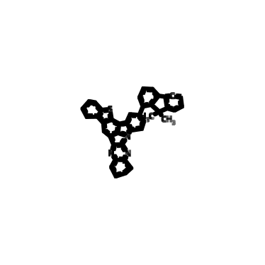 CC1(C)c2ccccc2-c2cccc(-c3ccc4c(c3)c3c5sc6ccccc6c5cc5c6nc7ccccc7nc6n4c53)c21